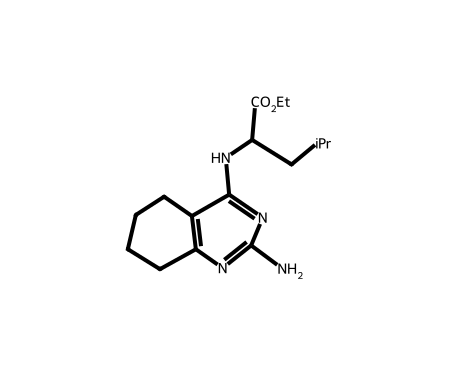 CCOC(=O)C(CC(C)C)Nc1nc(N)nc2c1CCCC2